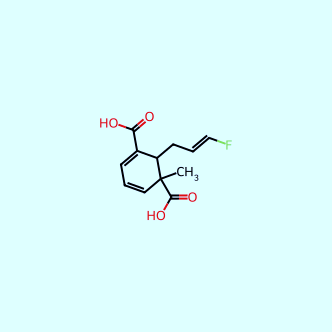 CC1(C(=O)O)C=CC=C(C(=O)O)C1CC=CF